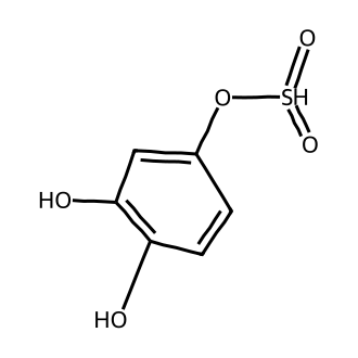 O=[SH](=O)Oc1ccc(O)c(O)c1